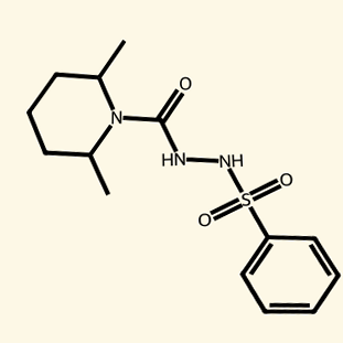 CC1CCCC(C)N1C(=O)NNS(=O)(=O)c1ccccc1